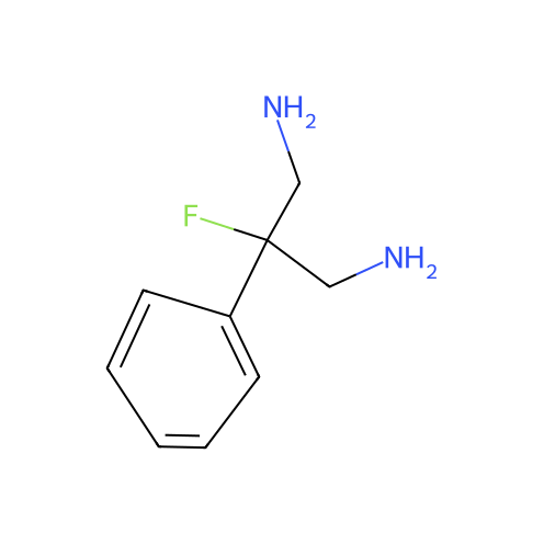 NCC(F)(CN)c1ccccc1